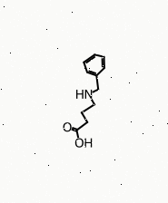 O=C(O)CCCNCc1ccccc1